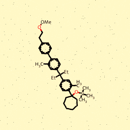 CCC(CC)(c1ccc(-c2ccc(CCOOC)cc2)c(C)c1)c1ccc(C2(O[Si](C)(C)C)CCCCCC2)c(C)c1